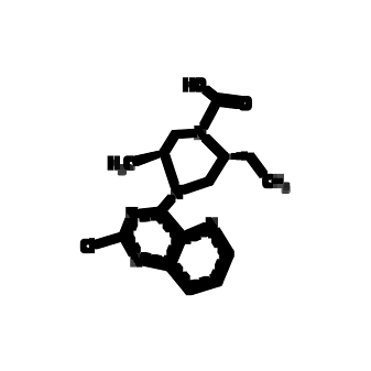 CC[C@@H]1CN(c2nc(Cl)nc3cccnc23)[C@@H](C)CN1C(=O)O